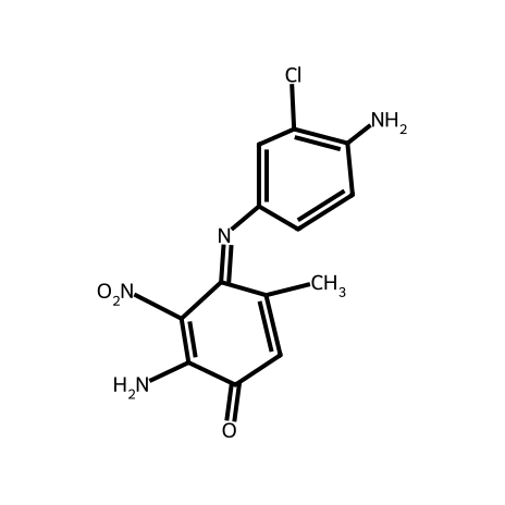 CC1=CC(=O)C(N)=C([N+](=O)[O-])C1=Nc1ccc(N)c(Cl)c1